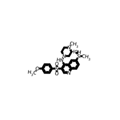 COc1ccc(S(=O)(=O)c2cnc3ccc([SiH](C)O)cc3c2NN2CCN(C)CC2)cc1